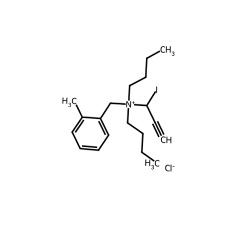 C#CC(I)[N+](CCCC)(CCCC)Cc1ccccc1C.[Cl-]